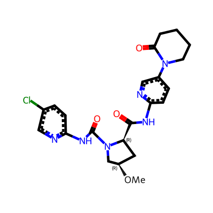 CO[C@@H]1C[C@H](C(=O)Nc2ccc(N3CCCCC3=O)cn2)N(C(=O)Nc2ccc(Cl)cn2)C1